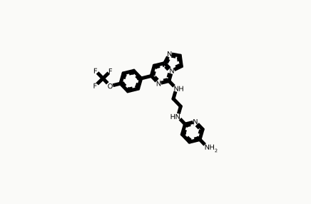 Nc1ccc(NCCNc2nc(-c3ccc(OC(F)(F)F)cc3)cc3nccn23)nc1